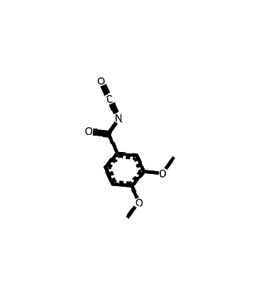 COc1ccc(C(=O)N=C=O)cc1OC